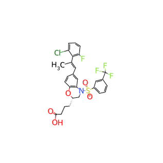 C/C(=C\c1ccc2c(c1)N(S(=O)(=O)c1cccc(C(F)(F)F)c1)C[C@H](CCCC(=O)O)O2)c1c(F)cccc1Cl